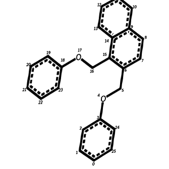 c1ccc(OCc2ccc3ccccc3c2COc2ccccc2)cc1